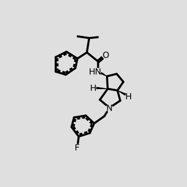 CC(C)C(C(=O)N[C@H]1CC[C@@H]2CN(Cc3cccc(F)c3)C[C@@H]21)c1ccccc1